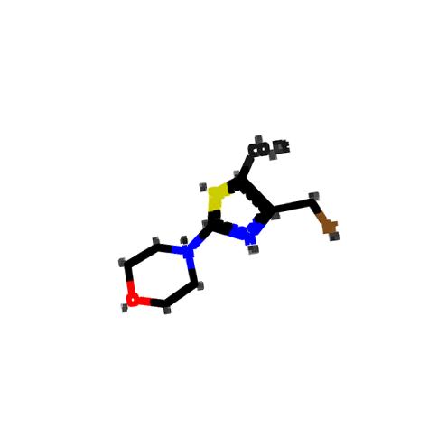 CCOC(=O)c1sc(N2CCOCC2)nc1CBr